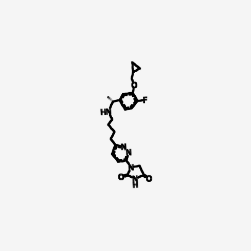 C[C@@H](NCCCCc1ccc(N2CC(=O)NC2=O)nn1)c1ccc(F)c(OCC2CC2)c1